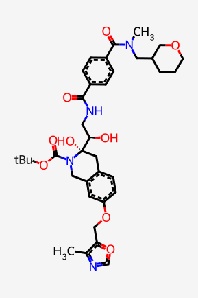 Cc1ncoc1COc1ccc2c(c1)CN(C(=O)OC(C)(C)C)[C@@](O)([C@H](O)CNC(=O)c1ccc(C(=O)N(C)CC3CCCOC3)cc1)C2